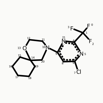 FC(F)(F)c1nc(Cl)cc(N2CCOC3(CCCCC3)C2)n1